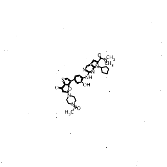 CN(C)C(=O)c1cc2cnc(Nc3ccc(-c4csc5c(=O)cc(N6CCN([S@+](C)[O-])CC6)oc45)cc3O)nc2n1C1CCCC1